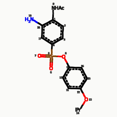 CC(=O)Nc1ccc(S(=O)(=O)Oc2ccc(OC(C)C)cc2)cc1N